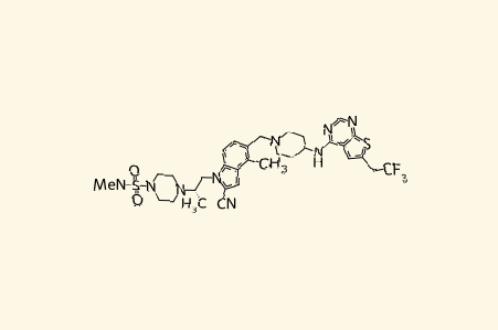 CNS(=O)(=O)N1CCN([C@@H](C)Cn2c(C#N)cc3c(C)c(CN4CCC(Nc5ncnc6sc(CC(F)(F)F)cc56)CC4)ccc32)CC1